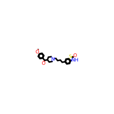 COc1ccc(C(=O)C2CCN(CCCCc3ccc4[nH]c(=O)sc4c3)CC2)cc1